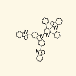 c1ccc(-c2cc(-n3c4ccc(-c5nc6ccccc6o5)cc4c4cc(-c5nc6ccccc6o5)ccc43)nc(-c3ccccc3)c2-c2nc3ccccc3o2)cc1